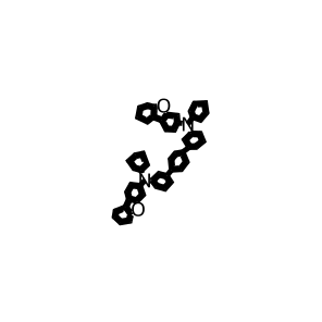 c1ccc(N(c2cccc(-c3ccc(-c4cccc(N(c5ccccc5)c5ccc6c(c5)oc5ccccc56)c4)cc3)c2)c2ccc3c(c2)oc2ccccc23)cc1